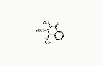 CCCCCCCCOC(=O)c1ccccc1C(=O)OCCCCCCCC.[CsH]